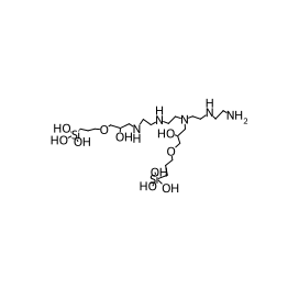 NCCNCCN(CCNCCNCC(O)COCCC[Si](O)(O)O)CC(O)COCCC[Si](O)(O)O